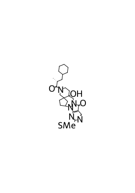 CSc1ncc2c(=O)n3n(c2n1)C1CCC2(C1)CN(C(=O)[C@H](C)CC1CCCCC1)CCC2(O)C3